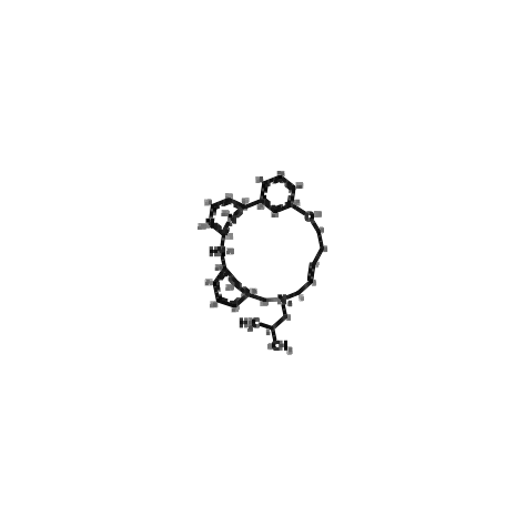 CC(C)CN1C/C=C/CCOc2cccc(c2)-c2ccnc(n2)Nc2cccc(c2)C1